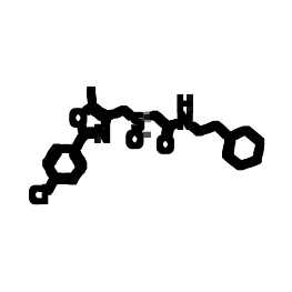 Cc1oc(-c2ccc(Cl)cc2)nc1C[S+]([O-])CC(=O)NCCC1=CCCCC1